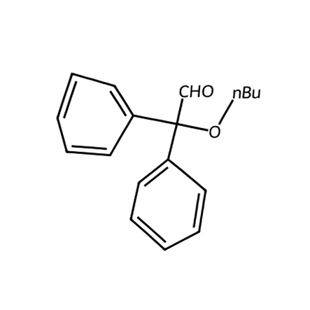 CCCCOC(C=O)(c1ccccc1)c1ccccc1